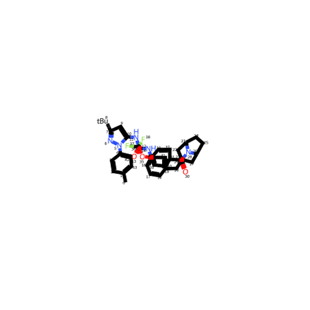 Cc1ccc(-n2nc(C(C)(C)C)cc2NC(=O)Nc2cccc(CC3CC4CCC(C3)N4C(=O)c3ccc(OC(F)F)cc3)c2)cc1